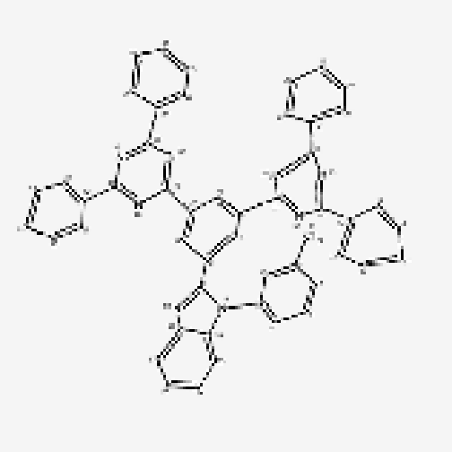 FC(F)(F)c1cccc(-n2c(-c3cc(-c4nc(-c5ccccc5)nc(-c5ccccc5)n4)cc(-c4nc(-c5ccccc5)nc(-c5ccccc5)n4)c3)nc3ccccc32)c1